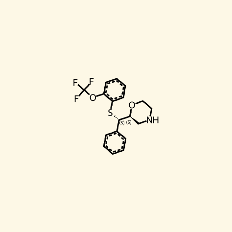 FC(F)(F)Oc1ccccc1S[C@@H](c1ccccc1)[C@@H]1CNCCO1